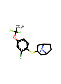 CN1C2CCC1CC(Sc1ccc(OC(F)(F)C(=O)O)cc1Cl)C2